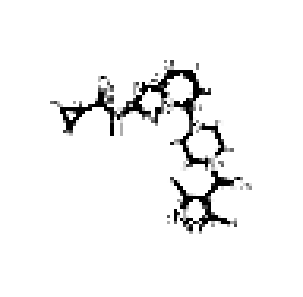 Cc1noc(C)c1C(=O)N1CCN(c2cccc3nc(NC(=O)C4CC4)nn23)CC1